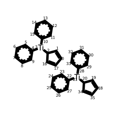 C1=C[CH]([Ti]([c]2ccccc2)[c]2ccccc2)C=C1.C1=C[CH]([Ti]([c]2ccccc2)[c]2ccccc2)C=C1